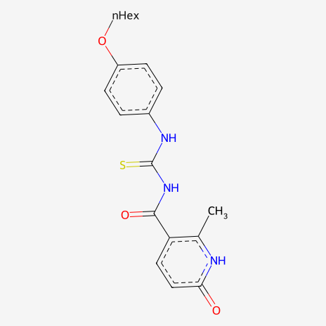 CCCCCCOc1ccc(NC(=S)NC(=O)c2ccc(=O)[nH]c2C)cc1